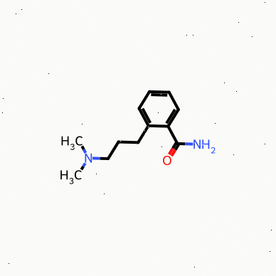 CN(C)CCCc1ccccc1C(N)=O